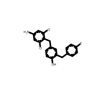 Nc1cc(Cl)c(Cc2ccc(O)c(Cc3ccc(F)cc3)c2)c(Cl)c1